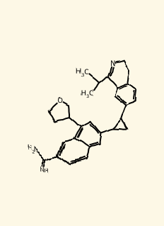 CC(C)C1=NCCc2ccc(C3CC3c3cc(C4CCOC4)c4cc(C(=N)N)ccc4c3)cc21